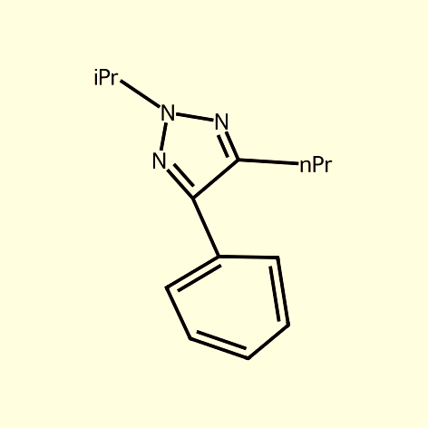 CCCc1nn(C(C)C)nc1-c1ccccc1